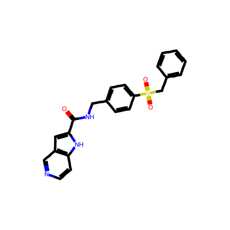 O=C(NCc1ccc(S(=O)(=O)Cc2ccccc2)cc1)c1cc2cnccc2[nH]1